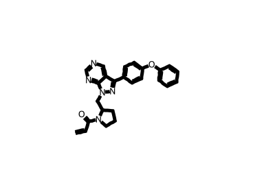 C=CC(=O)N1CCCC1Cn1nc(-c2ccc(Oc3ccccc3)cc2)c2cncnc21